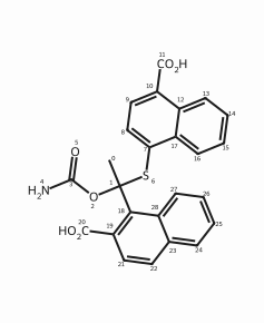 CC(OC(N)=O)(Sc1ccc(C(=O)O)c2ccccc12)c1c(C(=O)O)ccc2ccccc12